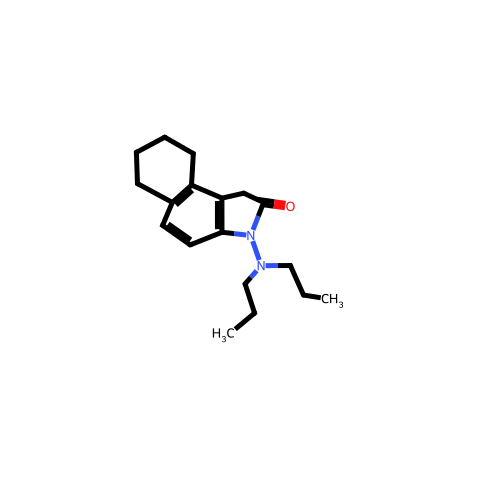 CCCN(CCC)N1C(=O)Cc2c1ccc1c2CCCC1